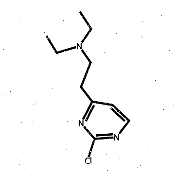 CCN(CC)CCc1ccnc(Cl)n1